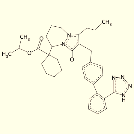 CCCc1c(Cc2ccc(-c3ccccc3-c3nnn[nH]3)cc2)c(=O)n2n1CCCC2C1(C(=O)OC(C)C)CCCCC1